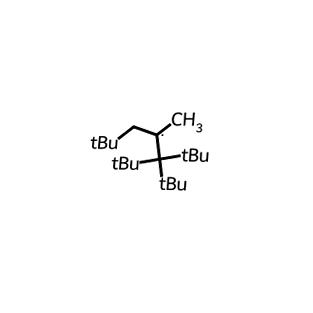 C[C](CC(C)(C)C)C(C(C)(C)C)(C(C)(C)C)C(C)(C)C